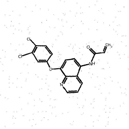 C=CC(=O)Nc1ccc(Oc2ccc(Cl)c(Cl)c2)c2ncccc12